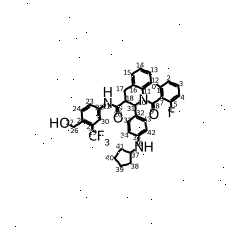 Cc1cccc(F)c1C(=O)N1c2ccccc2CC(C(=O)Nc2ccc(CO)c(C(F)(F)F)c2)C1c1ccc(NC2CCCC2)cc1